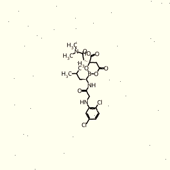 CC(C)C[C@H](NC(=O)CNc1cc(Cl)ccc1Cl)B1OC(=O)C[C@](CC(=O)N(C)C)(C(=O)O)O1